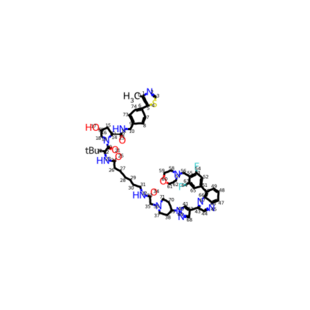 Cc1ncsc1-c1ccc(CNC(=O)[C@@H]2C[C@@H](O)CN2C(=O)C(NC(=O)CCCCCCNC(=O)CN2CCC(n3cc(-c4cnc5cccc(-c6cc(F)c(CN7CCOCC7)c(F)c6)c5n4)cn3)CC2)C(C)(C)C)cc1